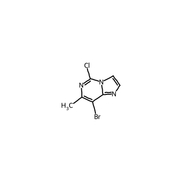 Cc1nc(Cl)n2ccnc2c1Br